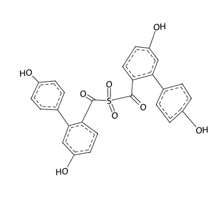 O=C(c1ccc(O)cc1-c1ccc(O)cc1)S(=O)(=O)C(=O)c1ccc(O)cc1-c1ccc(O)cc1